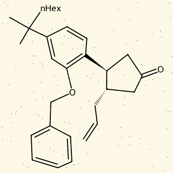 C=CC[C@H]1CC(=O)C[C@@H]1c1ccc(C(C)(C)CCCCCC)cc1OCc1ccccc1